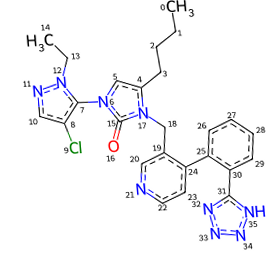 CCCCc1cn(-c2c(Cl)cnn2CC)c(=O)n1Cc1cnccc1-c1ccccc1-c1nnn[nH]1